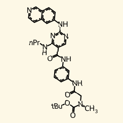 CCCNc1nc(Nc2ccc3cnccc3c2)ncc1C(=O)Nc1cccc(NC(=O)CN(C)C(=O)OC(C)(C)C)c1